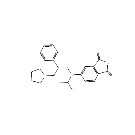 CC(C)N(C[C@H](CN1CC[C@H](O)C1)c1ccccc1)c1ccc2c(c1)C(=O)NC2=O